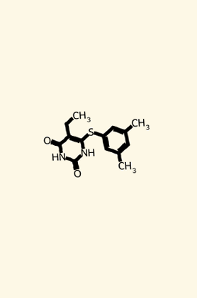 CCc1c(Sc2cc(C)cc(C)c2)[nH]c(=O)[nH]c1=O